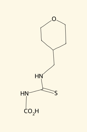 O=C(O)NC(=S)NCC1CCOCC1